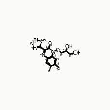 Cc1cc2nc(-c3nnnn3C)c(=O)n(OCC(O)CO)c2cc1C